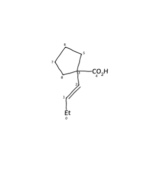 CCC=CC1(C(=O)O)CCCC1